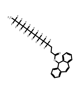 O=C(CCC(F)(F)C(F)(F)C(F)(F)C(F)(F)C(F)(F)C(F)(F)C(F)(F)C(F)(F)C(F)(F)C(F)(F)F)OC1c2ccccc2C=Cc2ccccc21